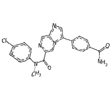 CN(C(=O)c1cn2c(-c3ccc(C(N)=O)cc3)cnc2cn1)c1ccc(Cl)cc1